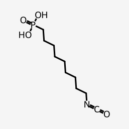 O=C=NCCCCCCCCCP(=O)(O)O